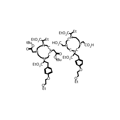 CCOCCOc1ccc(CC(C(=O)OCC)N2CCN(CC(=O)O)CCN(C(CC)C(=O)OCC)CCN(CC(=O)O)CC2)cc1.CCOCCOc1ccc(CC(C(=O)OCC)N2CCN(CC(=O)OC(C)(C)C)CCN(C(CC)C(=O)OCC)CCN(CC(=O)OC(C)(C)C)CC2)cc1